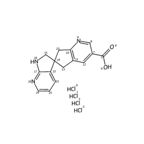 Cl.Cl.Cl.Cl.O=C(O)c1cnc2c(c1)CC1(CNc3ncccc31)C2